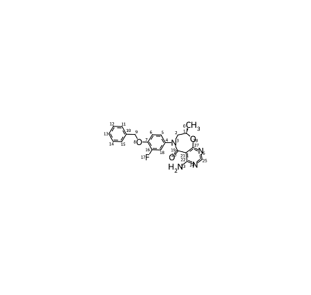 C[C@@H]1CN(c2ccc(OCc3ccccc3)c(F)c2)C(=O)c2c(N)ncnc2O1